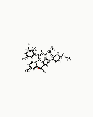 COc1ncc(-n2nc(C(=O)O)c(C(Nc3cc(Cl)cn(C)c3=O)c3ccc(Cl)cc3C)c2C(C)C)c(OC)n1